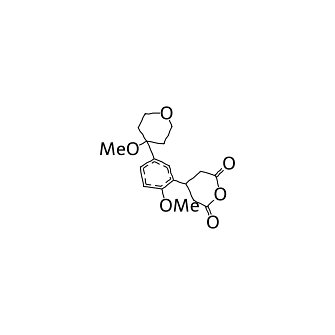 COc1ccc(C2(OC)CCOCC2)cc1C1CC(=O)OC(=O)C1